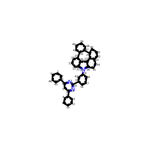 c1ccc(-c2cc(-c3ccccc3)nc(-c3cccc(-n4c5cccc6c5c5c7c(cccc7ccc54)-c4ccccc4-6)c3)n2)cc1